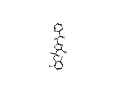 CC(C)c1nc(NC(=O)c2ccccn2)sc1S(=O)(=O)Cc1c(F)cccc1F